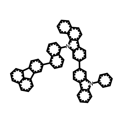 c1ccc(-n2c3ccccc3c3ccc(-c4ccc5c6ccc7ccccc7c6n(-c6cccc7c(-c8ccc9c(c8)-c8cccc%10cccc-9c8%10)cccc67)c5c4)cc32)cc1